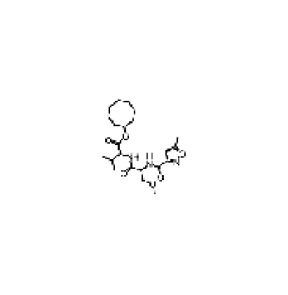 COC[C@H](NC(=O)c1cc(C)on1)C(=O)N[C@H](C(=O)OC1CCCCCCC1)C(C)C